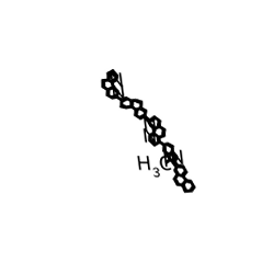 Cn1c(-c2ccc3c(ccc4ccccc43)c2)nc2ccc(-c3ccnc4c3ccc3ccc(-c5ccc6c(ccc7cc(-c8ccc9ccc%10cccnc%10c9n8)ccc76)c5)nc34)cc21